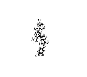 Cc1cnc(NC2CCOCC2C)nc1-n1cnc(C(=O)NCc2ccc(Cl)c(F)c2)c1